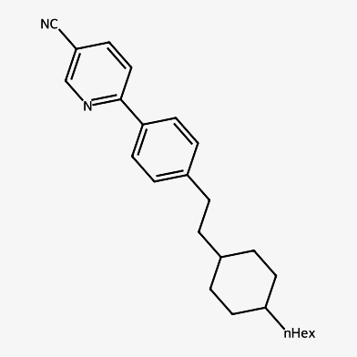 CCCCCCC1CCC(CCc2ccc(-c3ccc(C#N)cn3)cc2)CC1